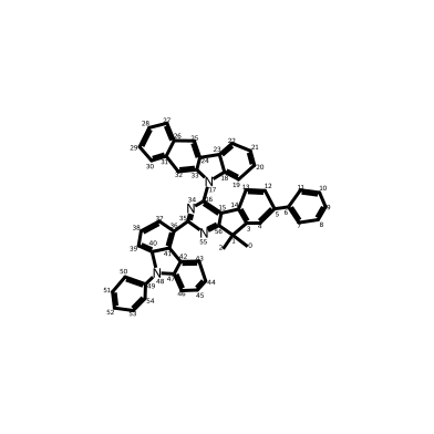 CC1(C)c2cc(-c3ccccc3)ccc2-c2c(-n3c4ccccc4c4cc5ccccc5cc43)nc(-c3cccc4c3c3ccccc3n4-c3ccccc3)nc21